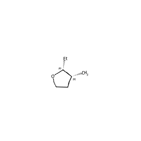 CC[C@H]1OCC[C@H]1C